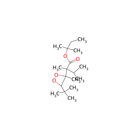 CCC(C)(C)OC(=O)C(C)(C(C)C)C1(C)OOC1C(C)(C)C